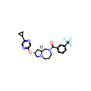 O=C(c1cccc(C(F)(F)F)c1)N1CCCN2C[C@H](Oc3cnc(C4CC4)cn3)C[C@H]2C1